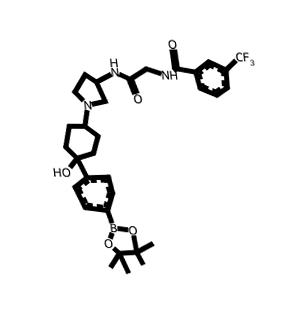 CC1(C)OB(c2ccc(C3(O)CCC(N4CCC(NC(=O)CNC(=O)c5cccc(C(F)(F)F)c5)C4)CC3)cc2)OC1(C)C